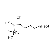 CCCCCCCCCCCC(CCC)[N+](C)(C)O.[Cl-]